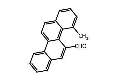 Cc1cccc2ccc3c4ccccc4cc(C=O)c3c12